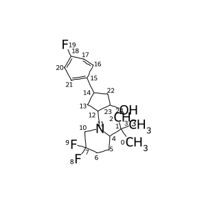 CC(C)(C)C1CCC(F)(F)CN1C1CC(c2ccc(F)cc2)CC1O